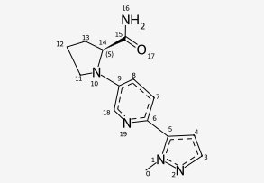 Cn1nccc1-c1ccc(N2CCC[C@H]2C(N)=O)cn1